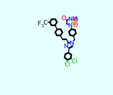 O=C1CN(c2ccc(Cn3cc(-c4ccc(Cl)c(Cl)c4)nc3/C=C/c3ccc(-c4cccc(C(F)(F)F)c4)cc3)cc2)S(=O)(=O)N1